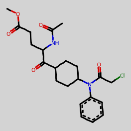 COC(=O)CCC(NC(C)=O)C(=O)C1CCC(N(C(=O)CCl)c2ccccc2)CC1